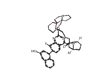 O=C(CCCN1CCCCC1)N1[C@@H]2CC[C@H]1CN(c1nc(OCC34CCCN3CCC4)nc3c(F)c(-c4cc(O)cc5ccccc45)ccc13)C2